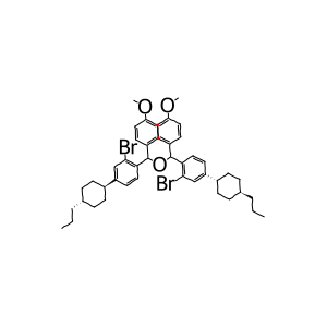 CCC[C@H]1CC[C@H](c2ccc(C(OC(c3ccc(OC)cc3)c3ccc([C@H]4CC[C@H](CCC)CC4)cc3Br)c3ccc(OC)cc3)c(Br)c2)CC1